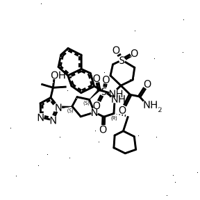 CC(C)(O)c1cnnn1[C@H]1C[C@@H](C(=O)NC2(C(=O)C(N)=O)CCS(=O)(=O)CC2)N(C(=O)[C@@H](CC2CCCCC2)NS(=O)(=O)c2ccc3ccccc3c2)C1